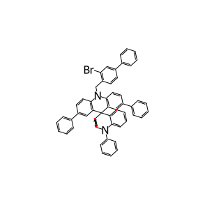 Brc1cc(-c2ccccc2)ccc1CN1c2ccc(-c3ccccc3)cc2C2(c3cc(-c4ccccc4)ccc31)c1ccccc1N(c1ccccc1)c1ccccc12